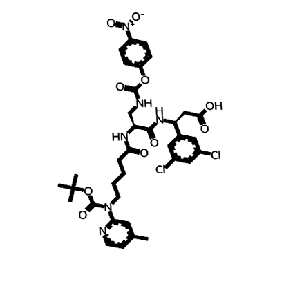 Cc1ccnc(N(CCCCC(=O)N[C@@H](CNC(=O)Oc2ccc([N+](=O)[O-])cc2)C(=O)N[C@@H](CC(=O)O)c2cc(Cl)cc(Cl)c2)C(=O)OC(C)(C)C)c1